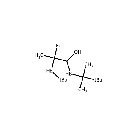 CCC(C)(BC(C)(C)C)C(O)BC(C)(C)C(C)(C)C